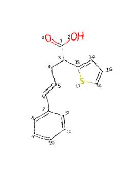 O=C(O)C(CC=Cc1ccccc1)c1cccs1